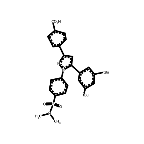 CN(C)S(=O)(=O)c1ccc(-n2nc(-c3ccc(C(=O)O)cc3)cc2-c2cc(C(C)(C)C)cc(C(C)(C)C)c2)cc1